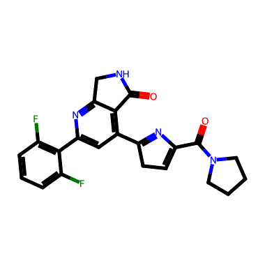 O=C1NCc2nc(-c3c(F)cccc3F)cc(C3=NC(C(=O)N4CCCC4)=CC3)c21